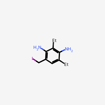 CCc1cc(CI)c(N)c(CC)c1N